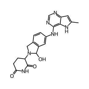 Cc1cc2ncnc(Nc3ccc4c(c3)C(O)N(C3CCC(=O)NC3=O)C4)c2[nH]1